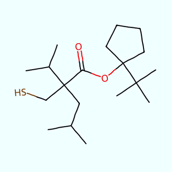 CC(C)CC(CS)(C(=O)OC1(C(C)(C)C)CCCC1)C(C)C